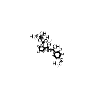 COc1ccc(C(C)NC(=O)C2CCCN2C(=O)OC(C)(C)C)cc1